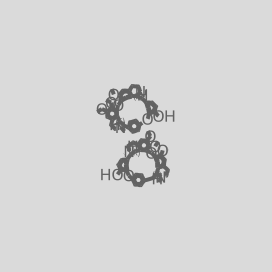 COc1cc2c3cc1Oc1c(OC)c(OC)cc4c1[C@@H](Cc1ccc(O)c(c1)Oc1ccc(cc1)C[C@@H]3N(C)CC2)N(C)CC4.COc1cc2c3cc1Oc1c(OC)c(OC)cc4c1[C@H](Cc1ccc(cc1)Oc1cc(ccc1O)C[C@H]3N(C)CC2)N(C)CC4